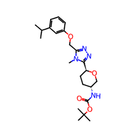 CC(C)c1cccc(OCc2nnc([C@@H]3CC[C@@H](NC(=O)OC(C)(C)C)CO3)n2C)c1